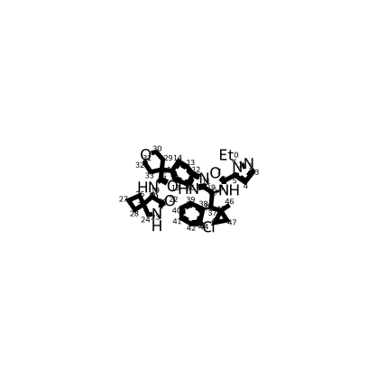 CCn1nccc1C(=O)N[C@H](c1nc2ccc(C3(C(=O)N[C@H]4C(=O)NCC45CCC5)CCOCC3)cc2[nH]1)[C@H](c1ccccc1Cl)C1(C)CC1